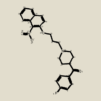 O=C(c1ccc(F)cc1)C1CCN(CCCOc2ccc3ccccc3c2[N+](=O)[O-])CC1